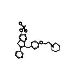 CS(=O)(=O)Oc1ccc2c(c1)CC(c1ccccc1)=C2Cc1ccc(OCCN2CCCCC2)cc1